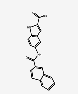 O=C(Nc1ccc2[nH]c(C(=O)O)cc2c1)c1ccc2ccccc2c1